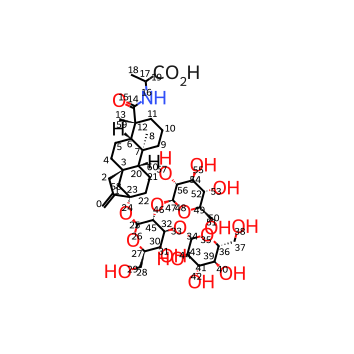 C=C1C[C@@]23CC[C@H]4[C@@](C)(CCC[C@@]4(C)C(=O)NC(C)C(=O)O)[C@@H]2CC[C@]1(O[C@@H]1O[C@H](CO)[C@@H](O)[C@H](O[C@@H]2O[C@H](CO)[C@@H](O)[C@H](O)[C@H]2O)[C@H]1O[C@@H]1O[C@H](CO)[C@@H](O)[C@H](O)[C@H]1O)C3